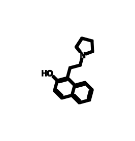 Oc1ccc2ccccc2c1CCN1CCCC1